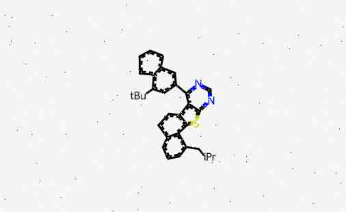 CC(C)Cc1cccc2ccc3c(sc4ncnc(-c5cc(C(C)(C)C)c6ccccc6c5)c43)c12